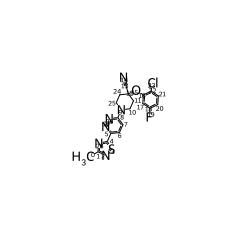 Cc1nsc(-c2ccc(N3CCC(C#N)(Oc4cc(F)ccc4Cl)CC3)nn2)n1